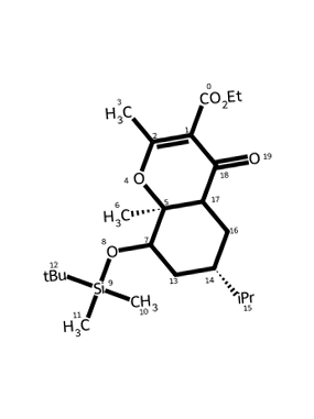 CCOC(=O)C1=C(C)O[C@]2(C)C(O[Si](C)(C)C(C)(C)C)C[C@@H](C(C)C)CC2C1=O